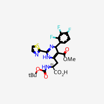 COC(=O)C1=C(C[C@H](NC(=O)OC(C)(C)C)C(=O)O)NC(c2nccs2)=NC1c1ccc(F)c(F)c1F